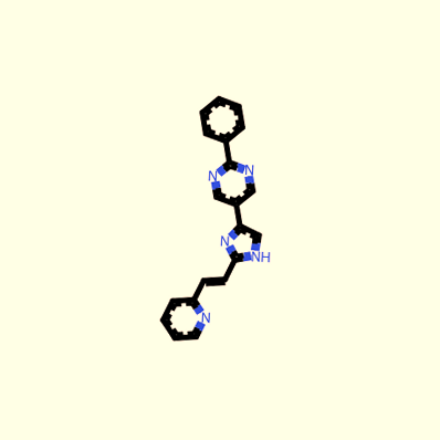 C(=Cc1nc(-c2cnc(-c3ccccc3)nc2)c[nH]1)c1ccccn1